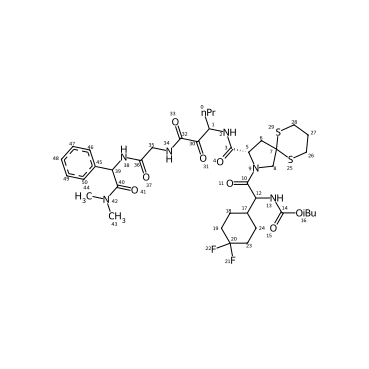 CCCC(NC(=O)[C@@H]1CC2(CN1C(=O)C(NC(=O)OCC(C)C)C1CCC(F)(F)CC1)SCCCS2)C(=O)C(=O)NCC(=O)NC(C(=O)N(C)C)c1ccccc1